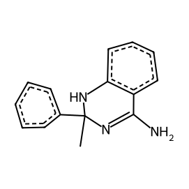 CC1(c2ccccc2)N=C(N)c2ccccc2N1